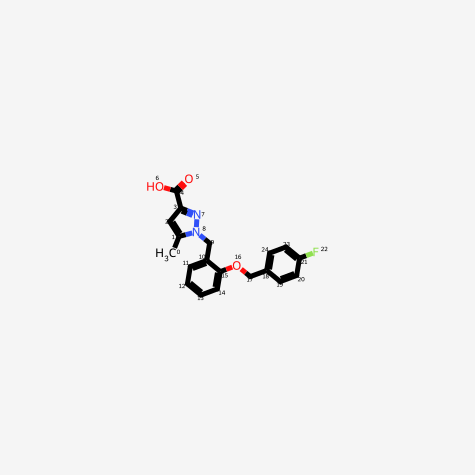 Cc1cc(C(=O)O)nn1Cc1ccccc1OCc1ccc(F)cc1